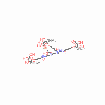 CC(=O)NC1[C@H](OCCCCCC(=O)NCCCN(CCCN(CCCNC(=O)CCCCCO[C@@H]2OC(CO)[C@H](O)[C@H](O)C2NC(C)=O)C(=O)C(O)COP(C)(C)=O)C(=O)CCCCCO[C@@H]2OC(CO)[C@H](O)[C@H](O)C2NC(C)=O)OC(CO)[C@H](O)[C@@H]1O